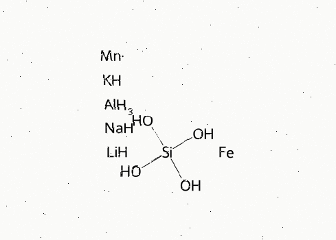 O[Si](O)(O)O.[AlH3].[Fe].[KH].[LiH].[Mn].[NaH]